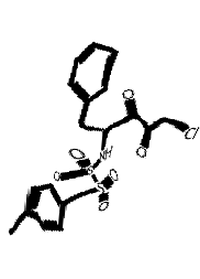 Cc1ccc(S(=O)(=O)S(=O)(=O)N[C@@H](Cc2ccccc2)C(=O)C(=O)CCl)cc1